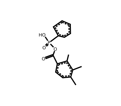 Cc1ccc(C(=O)OP(=O)(O)c2ccccc2)c(C)c1C